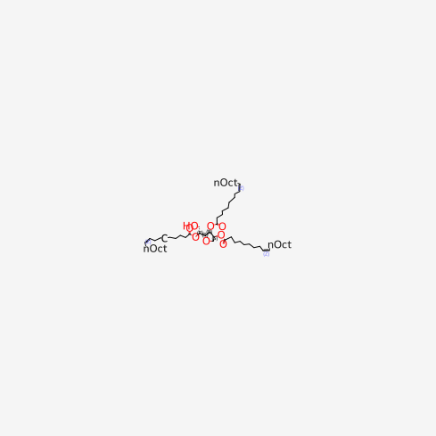 CCCCCCCC/C=C\CCCCCCCC(=O)O[C@H]1[C@@H]([C@@H](CO)OC(=O)CCCCCCC/C=C\CCCCCCCC)OC[C@@H]1OC(=O)CCCCCCC/C=C\CCCCCCCC